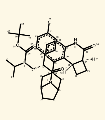 CC(C)N(C[C@@H](C(=O)N1C2CCC1CN(c1ncnc3c1[C@@H]1CC[C@@H]1C(=O)N3)C2)c1ccc(Cl)cc1)C(=O)OC(C)(C)C